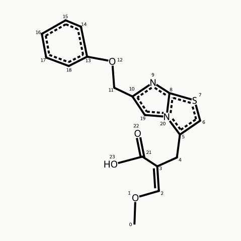 CO/C=C(/Cc1csc2nc(COc3ccccc3)cn12)C(=O)O